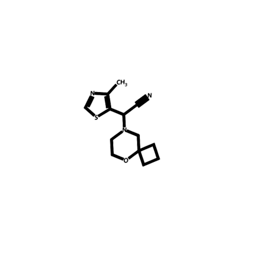 Cc1ncsc1C(C#N)N1CCOC2(CCC2)C1